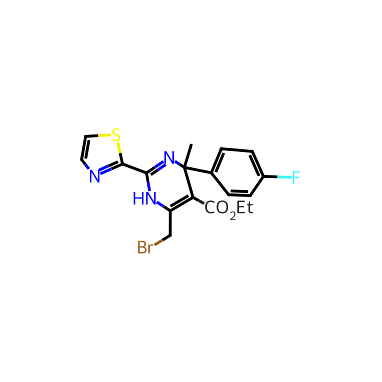 CCOC(=O)C1=C(CBr)NC(c2nccs2)=NC1(C)c1ccc(F)cc1